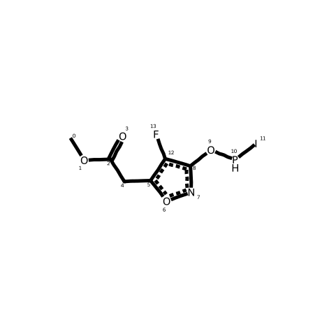 COC(=O)Cc1onc(OPI)c1F